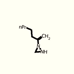 C=C(CCCCC)N1CN1